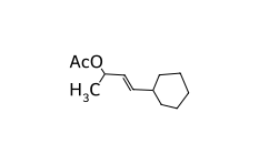 CC(=O)OC(C)/C=C/C1CCCCC1